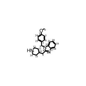 COc1ccc(Cn2c(CC3CCNCC3)nc3ccccc32)cc1